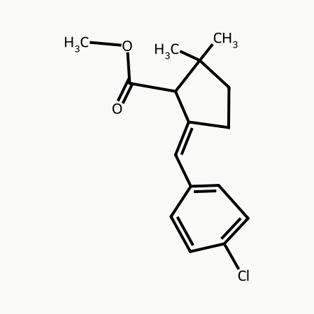 COC(=O)C1/C(=C/c2ccc(Cl)cc2)CCC1(C)C